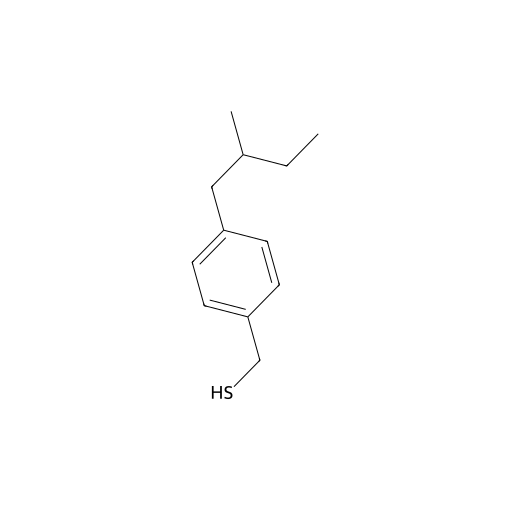 CCC(C)Cc1ccc(CS)cc1